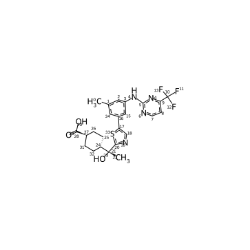 Cc1cc(Nc2nccc(C(F)(F)F)n2)cc(-c2cnc([C@](C)(O)[C@H]3CC[C@H](C(=O)O)CC3)s2)c1